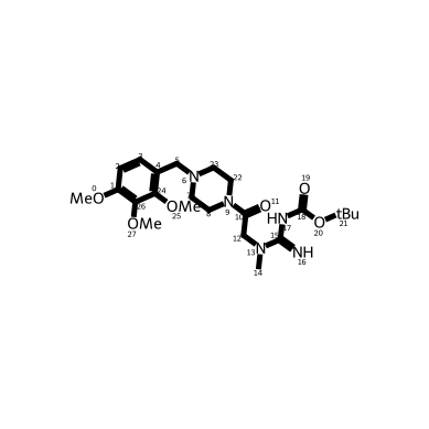 COc1ccc(CN2CCN(C(=O)CN(C)C(=N)NC(=O)OC(C)(C)C)CC2)c(OC)c1OC